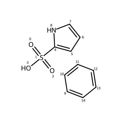 O=S(=O)(O)c1ccc[nH]1.c1ccccc1